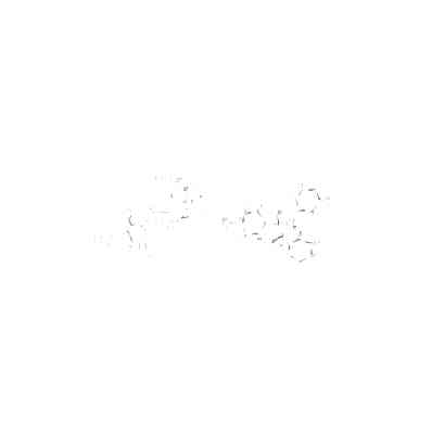 C=C(C)C(=O)OCCC[Si](CCCOc1ccc(P(=O)(C(=O)c2ccccc2)C(=O)c2ccccc2)cc1)(OC)OC